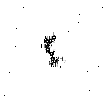 NC(=O)c1cnc(N)c2cc(-c3cc(F)cc(CN4CCC(NC(=O)c5cnc(N)c6cc(-c7cccc(I)c7)ccc56)CC4)c3)ccc12